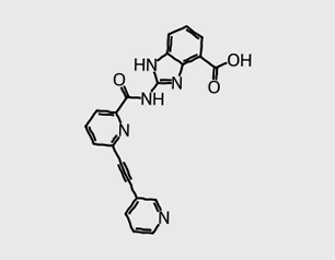 O=C(Nc1nc2c(C(=O)O)cccc2[nH]1)c1cccc(C#Cc2cccnc2)n1